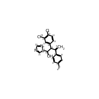 C=C(c1ccc(F)cc1)C(c1ccc(Cl)c(Cl)c1)C(O)n1cncn1